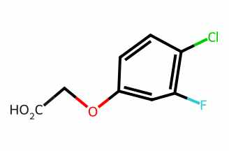 O=C(O)COc1ccc(Cl)c(F)c1